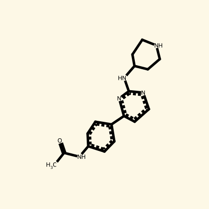 CC(=O)Nc1ccc(-c2ccnc(NC3CCNCC3)n2)cc1